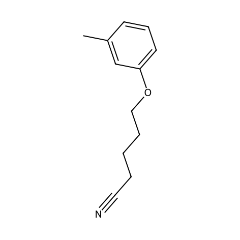 Cc1cccc(OCCCCC#N)c1